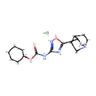 Cl.O=C(Nc1noc(C2CN3CCC2CC3)n1)OC1CCCCC1